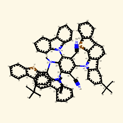 C=CC(=C)c1cc(C(C)(C)C)c2c(sc3ccccc32)c1N(C)c1c(-n2c3ccccc3c3ccccc32)c(C#N)c(-n2c3ccc(C(C)(C)C)cc3c3ccc4c5ccccc5sc4c32)c(C#N)c1-n1c2ccccc2c2ccccc21